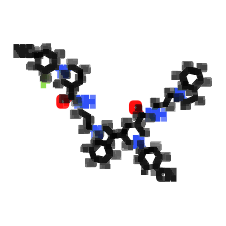 N#Cc1ccc(N2CC(C(=O)NCCCN3CCc4ccccc43)CC(C3CN(CCCNC(=O)C4CCCN(c5ccc(C#N)cc5F)C4)c4ccccc43)C2)cc1